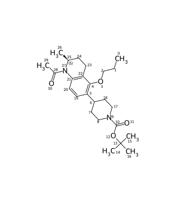 CCCOc1c(C2CCN(C(=O)OC(C)(C)C)CC2)ccc2c1CC[C@H](C)N2C(C)=O